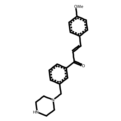 COc1ccc(C=CC(=O)c2cccc(CN3CCNCC3)c2)cc1